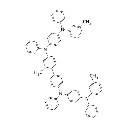 Cc1cccc(N(c2ccccc2)c2ccc(N(C3=CC(C)C(c4ccc(N(c5ccccc5)c5ccc(N(c6ccccc6)c6cccc(C)c6)cc5)cc4)C=C3)c3ccccc3)cc2)c1